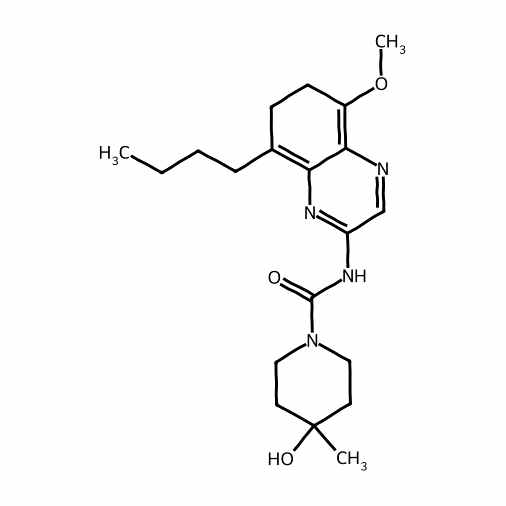 CCCCC1=c2nc(NC(=O)N3CCC(C)(O)CC3)cnc2=C(OC)CC1